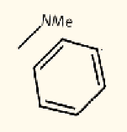 CNC.[c]1ccccc1